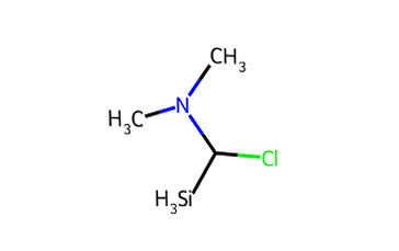 CN(C)C([SiH3])Cl